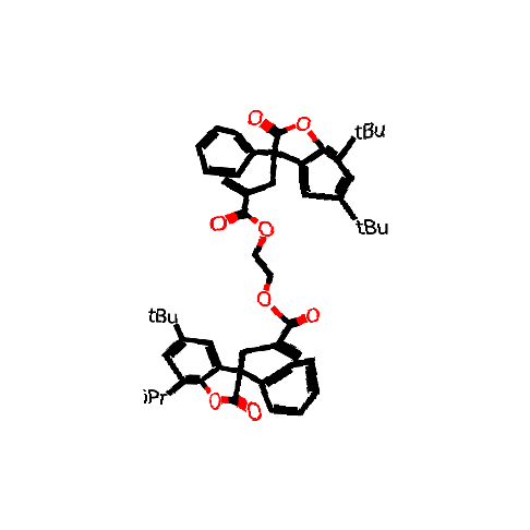 C=C(CC1(c2ccccc2)C(=O)Oc2c(C(C)C)cc(C(C)(C)C)cc21)C(=O)OCCOC(=O)C(=C)CC1(c2ccccc2)C(=O)Oc2c(C(C)(C)C)cc(C(C)(C)C)cc21